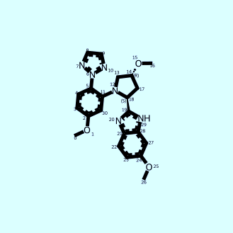 COc1c[c]c(-n2nccn2)c(N2C[C@H](OC)C[C@H]2c2nc3ccc(OC)cc3[nH]2)c1